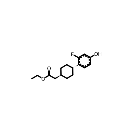 CCOC(=O)C[C@H]1CC[C@H](c2ccc(O)cc2F)CC1